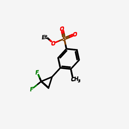 CCOS(=O)(=O)c1ccc(C)c(C2CC2(F)F)c1